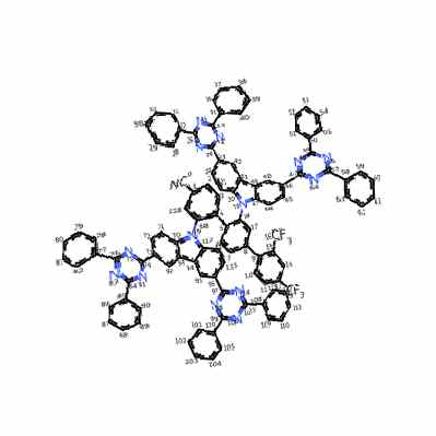 N#Cc1ccc(-c2ccc(-c3ccc(C(F)(F)F)cc3C(F)(F)F)cc2-n2c3ccc(-c4nc(-c5ccccc5)nc(-c5ccccc5)n4)cc3c3cc(-c4nc(-c5ccccc5)nc(-c5ccccc5)n4)ccc32)c(-n2c3ccc(-c4nc(-c5ccccc5)nc(-c5ccccc5)n4)cc3c3cc(-c4nc(-c5ccccc5)nc(-c5ccccc5)n4)ccc32)c1